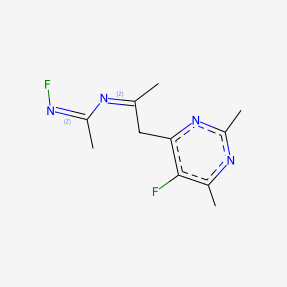 C/C(Cc1nc(C)nc(C)c1F)=N/C(C)=N\F